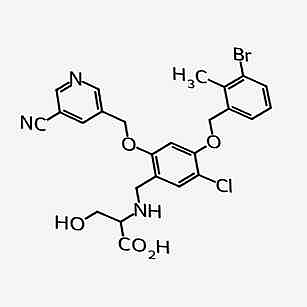 Cc1c(Br)cccc1COc1cc(OCc2cncc(C#N)c2)c(CNC(CO)C(=O)O)cc1Cl